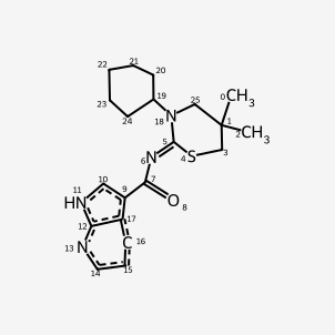 CC1(C)CS/C(=N\C(=O)c2c[nH]c3ncccc23)N(C2CCCCC2)C1